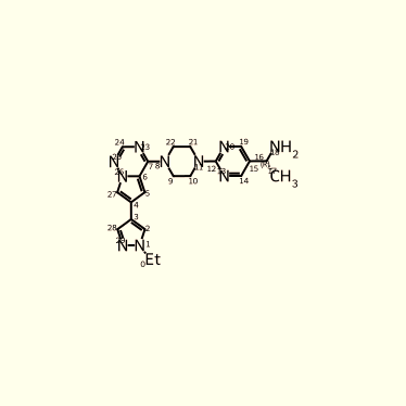 CCn1cc(-c2cc3c(N4CCN(c5ncc([C@@H](C)N)cn5)CC4)ncnn3c2)cn1